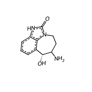 NC1CCn2c(=O)[nH]c3cccc(c32)[C@H]1O